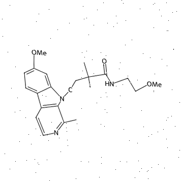 COCCNC(=O)C(C)(C)CCn1c2cc(OC)ccc2c2ccnc(C)c21